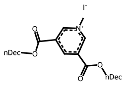 CCCCCCCCCCOC(=O)c1cc(C(=O)OCCCCCCCCCC)c[n+](C)c1.[I-]